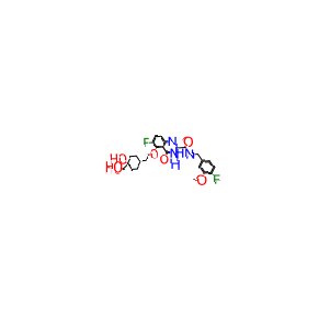 COc1cc(CNC(=O)c2nc3ccc(F)c(OCCC4CCC(O)(CO)CC4)c3c(=O)[nH]2)ccc1F